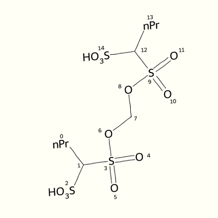 CCCC(S(=O)(=O)O)S(=O)(=O)OCOS(=O)(=O)C(CCC)S(=O)(=O)O